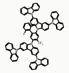 Fc1cccc(F)c1-c1cc(-n2c3ccc(-n4c5ccccc5c5ccccc54)cc3c3cc(-n4c5ccccc5c5ccccc54)ccc32)c(C(F)(F)F)cc1-n1c2ccc(-n3c4ccccc4c4ccccc43)cc2c2cc(-n3c4ccccc4c4ccccc43)ccc21